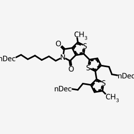 CCCCCCCCCCCCCCCCN1C(=O)c2c(C)sc(-c3cc(CCCCCCCCCCCC)c(-c4sc(C)cc4CCCCCCCCCCCC)s3)c2C1=O